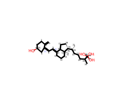 C=C1CC[C@H](O)C/C1=C/C=C1\CCC[C@@]2(C)C1CC[C@@H]2[C@H](C)CCCC(C)C(O)(O)O